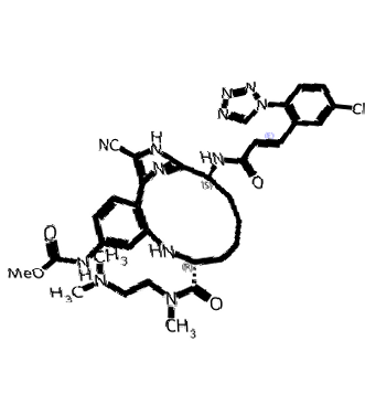 COC(=O)Nc1ccc2c(c1)N[C@@H](C(=O)N(C)CCN(C)C)CCCC[C@H](NC(=O)/C=C/c1cc(Cl)ccc1-n1cnnn1)c1nc-2c(C#N)[nH]1